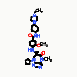 CCN1CCN(C2CCC(NC(=O)c3ccc(N[C@H]4C[C@]45CN(C4CCCC4)c4ncncc4N(C)C5=O)c(OC)c3)CC2)CC1